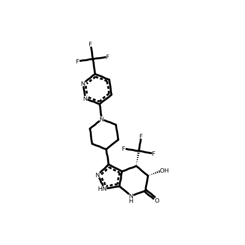 O=C1Nc2[nH]nc(C3CCN(c4ccc(C(F)(F)F)nn4)CC3)c2[C@H](C(F)(F)F)[C@@H]1O